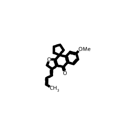 C/C=C\C=C1/COC2=C1C(=O)c1ccc(OC)cc1C21CCCC1